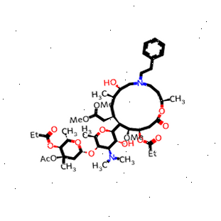 CCC(=O)O[C@@H]1CC(=O)O[C@H](C)CCN(CCc2ccccc2)C[C@H](O)[C@H](C)C[C@H](CC(OC)OC)[C@H]([C@@H]2O[C@H](C)[C@@H](O[C@@H]3C[C@@](C)(OC(C)=O)[C@@H](OC(=O)CC)[C@H](C)O3)[C@H](N(C)C)[C@H]2O)[C@@H]1OC